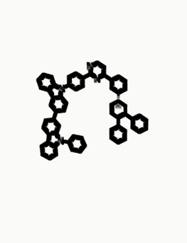 C1=C[C@H](c2cccc(-c3ccnc(-c4ccc(-n5c6ccccc6c6cc(-c7ccc8c9ccccc9n(-c9ccccc9)c8c7)ccc65)cc4)n3)c2)CC(c2ccccc2)=C1c1ccccc1